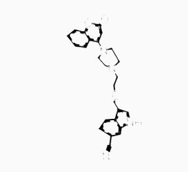 N#Cc1ccc2c(CCCCN3CCN(c4cc(=O)oc5ccccc45)CC3)c[nH]c2c1